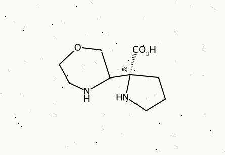 O=C(O)[C@]1(C2COCCN2)CCCN1